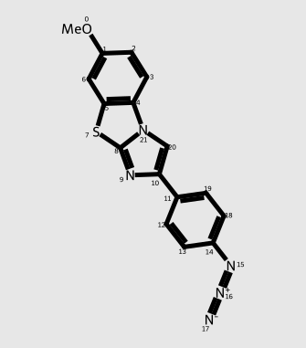 COc1ccc2c(c1)sc1nc(-c3ccc(N=[N+]=[N-])cc3)cn12